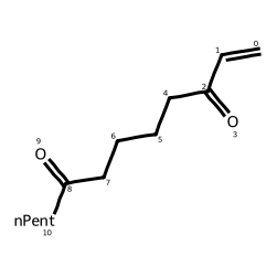 C=CC(=O)CCCCC(=O)CCCCC